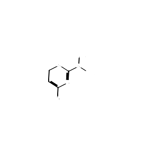 CN(C)C1=NC(O)=C[CH]N1